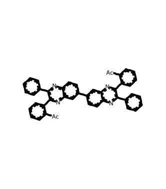 CC(=O)c1ccccc1-c1nc2cc(-c3ccc4nc(-c5ccccc5)c(-c5ccccc5C(C)=O)nc4c3)ccc2nc1-c1ccccc1